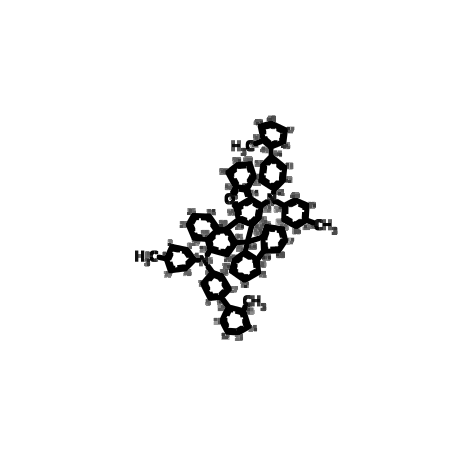 Cc1ccc(N(c2ccc(-c3ccccc3C)cc2)c2cc3c(c4ccccc24)-c2c(cc(N(c4ccc(C)cc4)c4ccc(-c5ccccc5C)cc4)c4c2oc2ccccc24)C32c3ccccc3-c3ccccc32)cc1